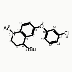 CC(=O)N1CCC(C(C)(C)C)c2cc(Oc3cccc(Cl)c3)ccc21